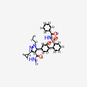 CCCn1nc(C2CC2)c(C(=O)NC)c1-c1ccc(-c2ccccc2S(=O)(=O)NC(=O)c2ccccc2)cc1